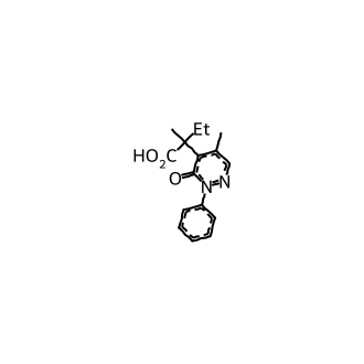 CCC(C)(C(=O)O)c1c(C)cnn(-c2ccccc2)c1=O